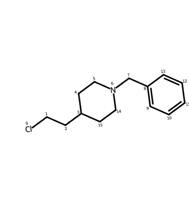 ClCCC1CCN(Cc2ccccc2)CC1